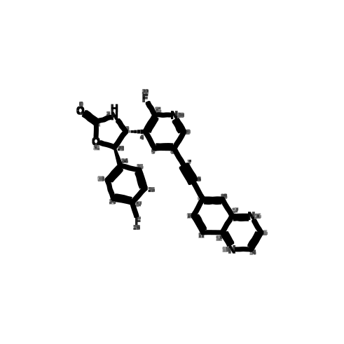 O=C1N[C@H](c2cc(C#Cc3ccc4nccnc4c3)cnc2F)[C@@H](c2ccc(F)cc2)O1